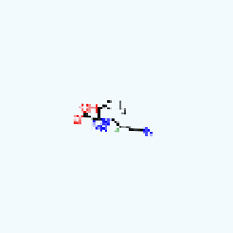 CCc1c(C(=O)O)nnn1CC(F)CCC#N